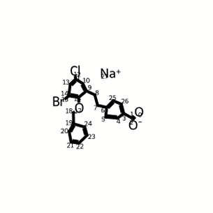 O=C([O-])c1ccc(CCc2cc(Cl)cc(Br)c2OCc2ccccc2)cc1.[Na+]